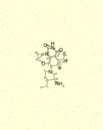 CCC1CCN(C2C(OC)=c3c(c(=O)[nH]c(=O)n3C3CC3)=C(C(F)F)C2F)CC1N